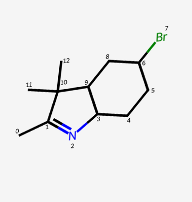 CC1=NC2CCC(Br)CC2C1(C)C